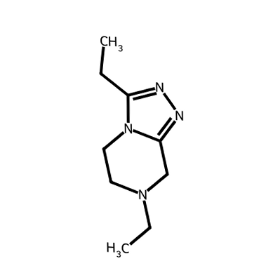 CCc1nnc2n1CCN(CC)C2